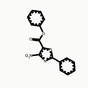 O=C(Oc1ccccc1)c1sc(-c2ccccc2)nc1[N+](=O)[O-]